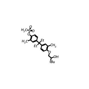 CCC(CC)(c1ccc(OCC(O)C(C)(C)C)c(C)c1)c1ccc(OS(C)(=O)=O)c(C)c1